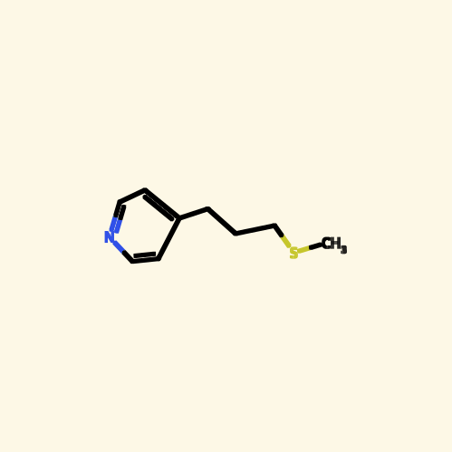 CSCCCc1ccncc1